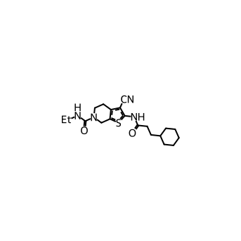 CCNC(=O)N1CCc2c(sc(NC(=O)CCC3CCCCC3)c2C#N)C1